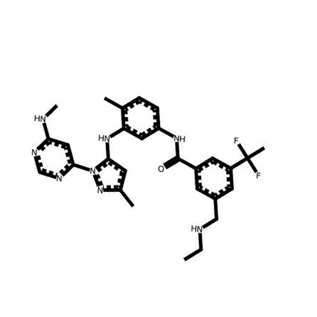 CCNCc1cc(C(=O)Nc2ccc(C)c(Nc3cc(C)nn3-c3cc(NC)ncn3)c2)cc(C(C)(F)F)c1